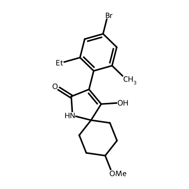 CCc1cc(Br)cc(C)c1C1=C(O)C2(CCC(OC)CC2)NC1=O